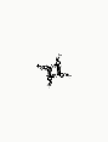 CC(C)(C)COc1ccc2c(c1)-c1nc-2nc2[nH]c(nc3nc(nc4[nH]c(n1)c1ccc(OCC(C)(C)C)cc41)-c1ccc(OCC(C)(C)C)cc1-3)c1ccc(OCC(C)(C)C)cc21